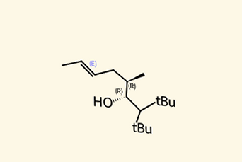 C/C=C/C[C@@H](C)[C@@H](O)C(C(C)(C)C)C(C)(C)C